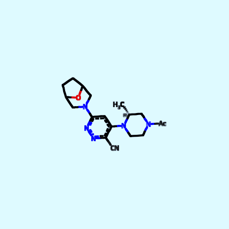 CC(=O)N1CCN(c2cc(N3CC4CCC(C3)O4)nnc2C#N)[C@H](C)C1